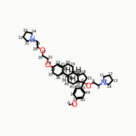 COc1ccc(C2(OCCN3CCCC3)CC[C@H]3[C@@H]4CCC5=CC(OCCOCCN6CCCC6)CC[C@]5(C)[C@@H]4CC[C@@]32C)cc1